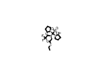 CCOC(=O)CN(C(=O)C(F)(F)F)C(N1CCCC1)(N1CCCC1)P(=O)(O)O